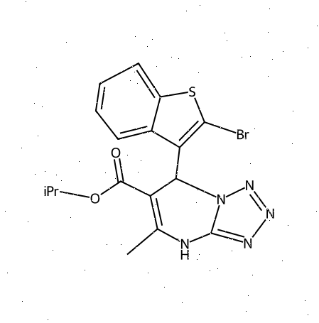 CC1=C(C(=O)OC(C)C)C(c2c(Br)sc3ccccc23)n2nnnc2N1